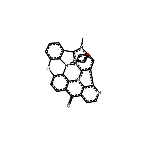 Cn1c2[n+](c3ccccc31)[N+]13c4c(cccc4-2)Oc2ccc4c(=O)c5ccnc6c7ccc[n+]1c7n(c4c23)c56